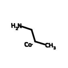 CCCN.[Co]